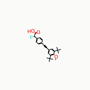 COc1c(C(C)(C)C)cc(C#Cc2ccc(C(F)C(=O)O)cc2)cc1C(C)(C)C